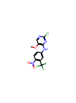 COc1cnc(Cl)nc1Nc1ccc([N+](=O)[O-])c(C(F)(F)F)c1